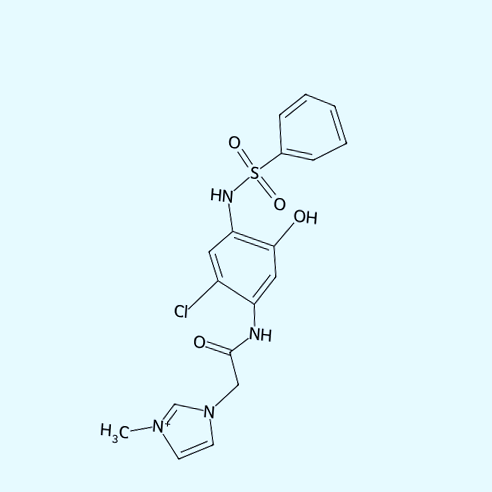 C[n+]1ccn(CC(=O)Nc2cc(O)c(NS(=O)(=O)c3ccccc3)cc2Cl)c1